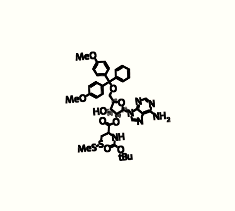 COc1ccc(C(OC[C@H]2O[C@@H](n3cnc4c(N)ncnc43)[C@H](OC(=O)C(CSSC)NC(=O)OC(C)(C)C)[C@@H]2O)(c2ccccc2)c2ccc(OC)cc2)cc1